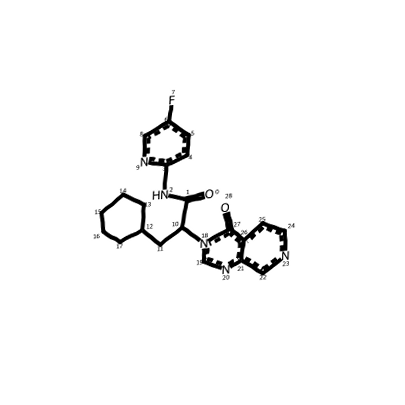 O=C(Nc1ccc(F)cn1)C(CC1CCCCC1)n1cnc2cnccc2c1=O